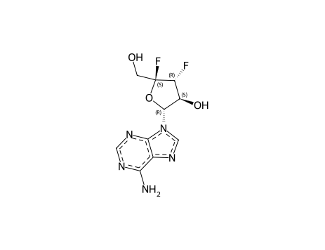 Nc1ncnc2c1ncn2[C@@H]1O[C@](F)(CO)[C@H](F)[C@H]1O